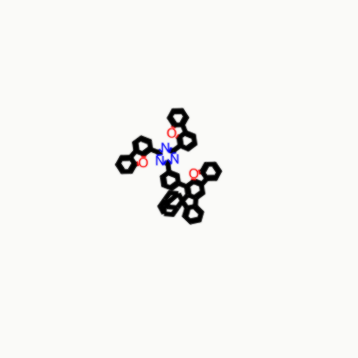 c1cc(-c2nc(-c3cccc4c3oc3ccccc34)nc(-c3cccc4c3oc3ccccc34)n2)cc(-c2c3c(cc4c2oc2ccccc24)-c2ccccc2C32C3CC4CC(C3)CC2C4)c1